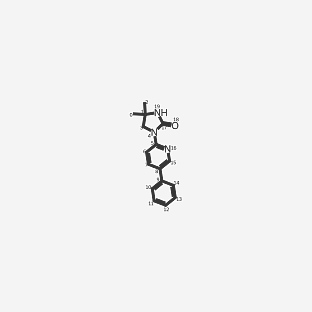 CC1(C)CN(c2ccc(-c3ccccc3)cn2)C(=O)N1